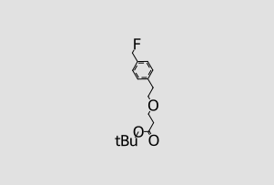 CC(C)(C)OC(=O)CCOCCc1ccc(CF)cc1